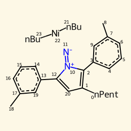 CCCCCC1=C(c2cccc(C)c2)[N+](=[N-])C(c2cccc(C)c2)=C1.CCC[CH2][Ni][CH2]CCC